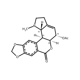 CC(=O)O[C@H]1C=C2CCN(C)[C@H]2[C@@H]2c3cc4c(cc3C(=O)O[C@@H]21)OCO4